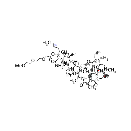 C/C=C/CC(C)[C@@H](OC(=O)COCCOCCOC)C(C(N)=O)N(C)C(=O)[C@@H](C(C)C)N(C)C(=O)[C@H](CC(C)C)N(C)C(=O)[C@H](CC(C)C)N(C)C(=O)[C@@H](C)NC(=O)[C@H](C)NC(=O)[C@H](CC(C)C)N(C)C(=O)[C@@H](NC(=O)[C@H](CC(C)C)N(C)C(=O)CN(C)C(=O)CCC)C(C)C